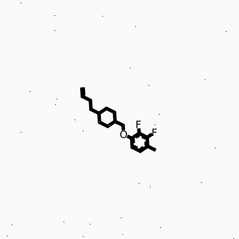 C=CCCC1CCC(COc2ccc(C)c(F)c2F)CC1